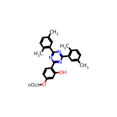 CCCCCCCCOc1ccc(-c2nc(-c3cc(C)ccc3C)nc(-c3cc(C)ccc3C)n2)c(O)c1